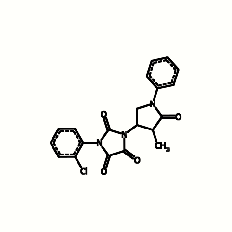 CC1C(=O)N(c2ccccc2)CC1N1C(=O)C(=O)N(c2ccccc2Cl)C1=O